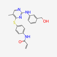 C=CC(=O)Nc1ccc(Sc2nc(Nc3cccc(CO)c3)ncc2C)cc1